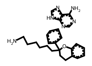 NCCCCCCC1(c2ccccc2)CCc2ccccc2O1.Nc1ncnc2[nH]cnc12